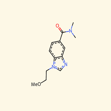 COCCn1cnc2cc(C(=O)N(C)C)ccc21